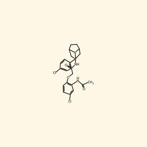 CC(=O)Nc1cc(Cl)ccc1OCC(=O)NC1CC2CCC(C1)N2Cc1ccc(Cl)cc1